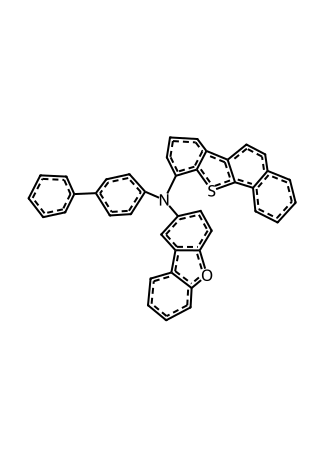 c1ccc(-c2ccc(N(c3ccc4oc5ccccc5c4c3)c3cccc4c3sc3c5ccccc5ccc43)cc2)cc1